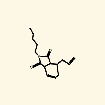 C=CCC1CC=CC2C(=O)N(CCCCC)C(=O)C12